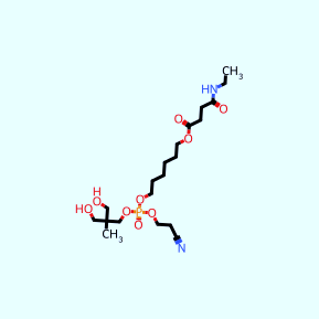 CCNC(=O)CCC(=O)OCCCCCCOP(=O)(OCCC#N)OCC(C)(CO)CO